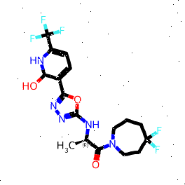 C[C@@H](Nc1nnc(C2=CC=C(C(F)(F)F)NC2O)o1)C(=O)N1CCCC(F)(F)CC1